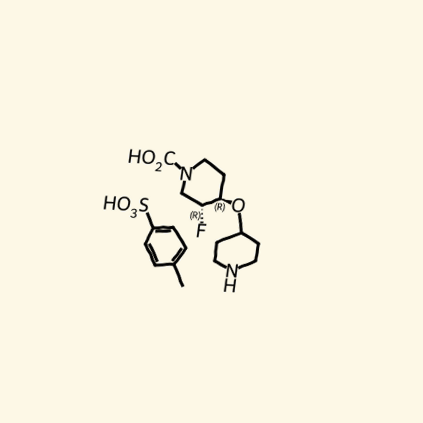 Cc1ccc(S(=O)(=O)O)cc1.O=C(O)N1CC[C@@H](OC2CCNCC2)[C@H](F)C1